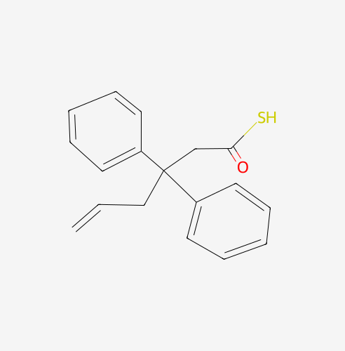 C=CCC(CC(=O)S)(c1ccccc1)c1ccccc1